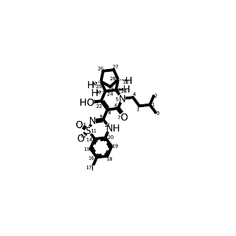 CC(C)CCN1C(=O)C(C2=NS(=O)(=O)c3cc(I)ccc3N2)=C(O)[C@H]2[C@H]3CC[C@H](C3)[C@@H]21